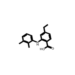 CCc1ccc(C(=O)O)c(Nc2cccc(C)c2C)c1